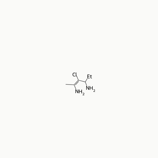 CCC(N)/C(Cl)=C(/C)N